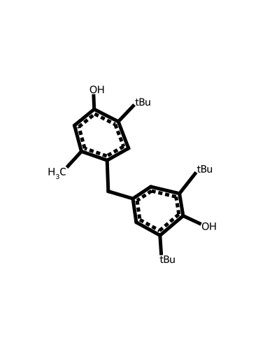 Cc1cc(O)c(C(C)(C)C)cc1Cc1cc(C(C)(C)C)c(O)c(C(C)(C)C)c1